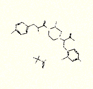 CCCC1CN(C(Cc2ccc(Cl)cc2Cl)C(=O)NC)CCN1C(=O)C(N)Cc1ccc(F)cc1.O=C(O)C(F)(F)F